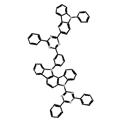 c1ccc(-c2nc(-c3cccc(-n4c5ccccc5c5ccc6c(c7ccccc7n6-c6nc(-c7ccccc7)nc(-c7ccccc7)n6)c54)c3)nc(-c3ccc4c(c3)c3ccccc3n4-c3ccccc3)n2)cc1